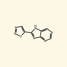 [c]1nnoc1-c1nc2ncncc2[nH]1